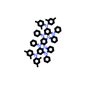 Cc1ccc(N(c2cc3c4c(c2)n(-c2ccccc2)c2cc5c(cc2n4c2ccccc2n3-c2ccccc2)n2c3ccccc3n(-c3ccccc3)c3cc(N(c4ccc(C)cc4C)c4ccc(C)cc4C)cc(c32)n5-c2ccccc2)c2ccc(C)cc2C)c(C)c1